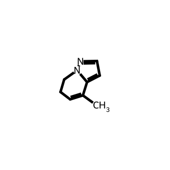 CC1=CCCn2nccc21